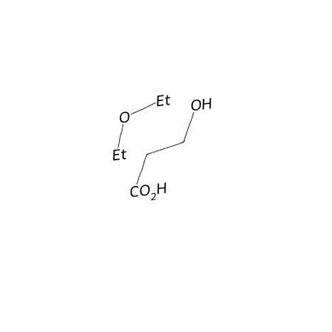 CCOCC.O=C(O)CCO